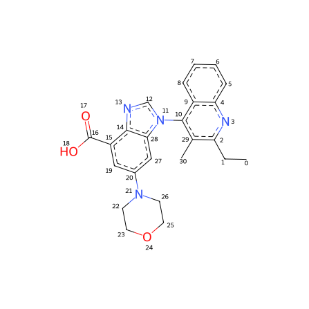 CCc1nc2ccccc2c(-n2cnc3c(C(=O)O)cc(N4CCOCC4)cc32)c1C